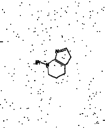 CC(C)N1CCCC2=C1N=CC2